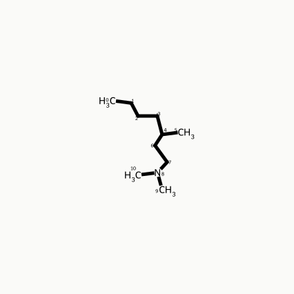 CCC[CH]C(C)CCN(C)C